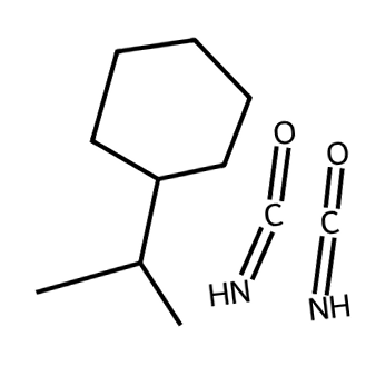 CC(C)C1CCCCC1.N=C=O.N=C=O